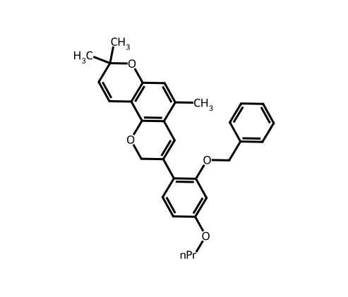 CCCOc1ccc(C2=Cc3c(C)cc4c(c3OC2)C=CC(C)(C)O4)c(OCc2ccccc2)c1